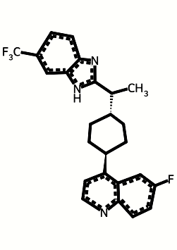 CC(c1nc2ccc(C(F)(F)F)cc2[nH]1)[C@H]1CC[C@H](c2ccnc3ccc(F)cc32)CC1